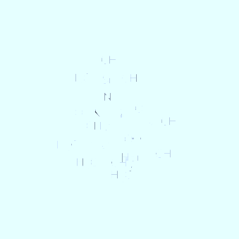 CC(=O)O[C@@H]1[C@@H]([C@@](C)(O[SiH](C)C)C(C)(C)C)C(=O)N1[Si](C)(C)C